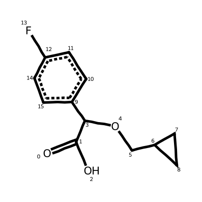 O=C(O)C(OCC1CC1)c1ccc(F)cc1